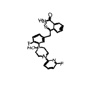 O=c1[nH]nc(Cc2ccc(F)c([P]3(O)CCN(c4cccc(F)n4)CC3)c2)c2ccccc12